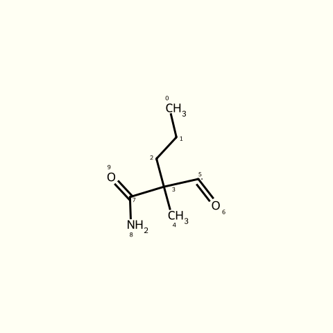 CCCC(C)([C]=O)C(N)=O